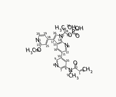 C=CC(=O)N(C)c1cncc(-c2cnc3c(c2)c(-c2ccnc(OC)c2)cn3C(C)OP(=O)(O)O)c1